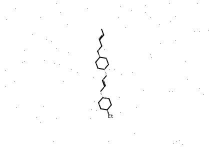 CC=CCC[C@H]1CC[C@H](CC=CC[C@H]2CC[C@H](CC)CC2)CC1